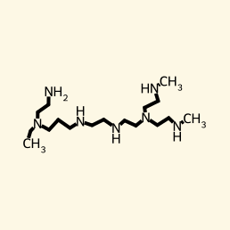 CCN(CCN)CCCNCCNCCN(CCNC)CCNC